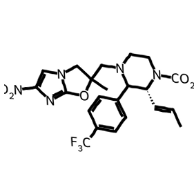 CC=C[C@@H]1C(c2ccc(C(F)(F)F)cc2)N(CC2(C)Cn3cc([N+](=O)[O-])nc3O2)CCN1C(=O)O